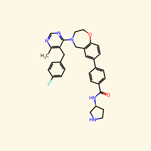 Cc1ncnc(N2CCOc3ccc(-c4ccc(C(=O)N[C@H]5CCNC5)cc4)cc3C2)c1Cc1ccc(F)cc1